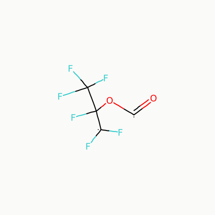 O=[C]OC(F)([C](F)F)C(F)(F)F